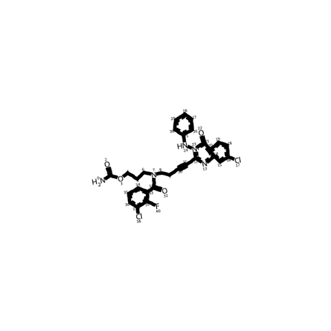 NC(=O)OCCCN(CCC#Cc1nc2cc(Cl)ccc2c(=O)n1Nc1ccccc1)C(=O)c1cccc(Cl)c1F